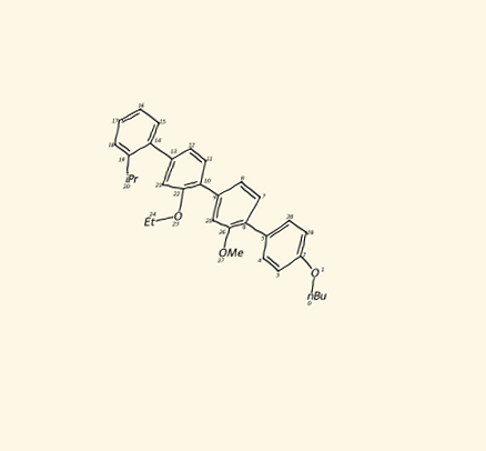 CCCCOc1ccc(-c2ccc(-c3ccc(-c4cc[c]cc4C(C)C)cc3OCC)cc2OC)cc1